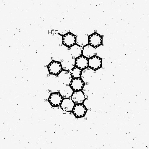 Cc1ccc(N(c2ccccc2)c2cc3c(c4ccccc24)c2cc4c(cc2n3-c2ccccc2)B2c3ccccc3Oc3cccc(c32)O4)cc1